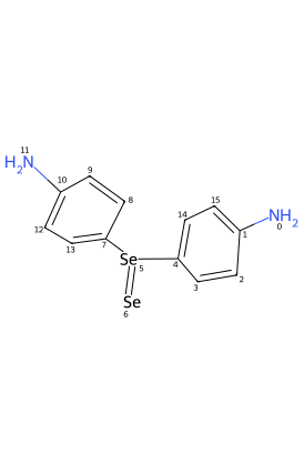 Nc1ccc([Se](=[Se])c2ccc(N)cc2)cc1